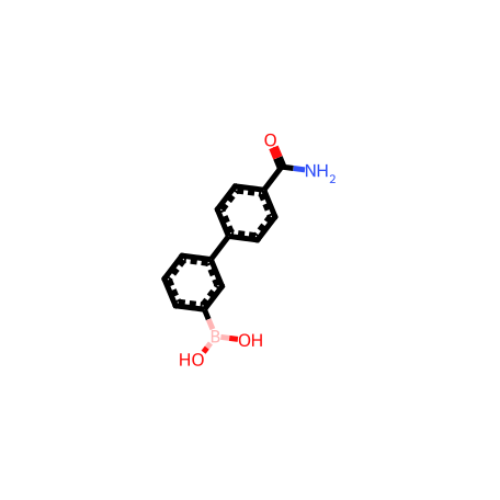 NC(=O)c1ccc(-c2cccc(B(O)O)c2)cc1